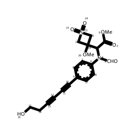 COC(=O)C(N(C=O)c1ccc(C#CC#CCCO)cc1)C1(OC)CS(=O)(=O)C1